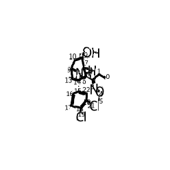 CCC(=NOC)[C@@H]1[C@@H]2NC(CC2O)C[C@H]1c1ccc(Cl)c(Cl)c1